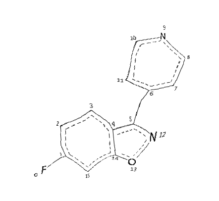 Fc1ccc2c(-c3ccncc3)noc2c1